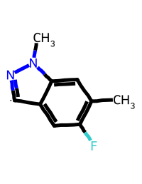 Cc1cc2c([c]nn2C)cc1F